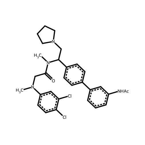 CC(=O)Nc1cccc(-c2ccc(C(CN3CCCC3)N(C)C(=O)CN(C)c3ccc(Cl)c(Cl)c3)cc2)c1